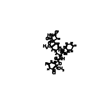 Cc1cc(C[C@H](NS(=O)(=O)c2cc(F)cc(Cl)c2C)c2nc3ccccc3[nH]2)ccc1C1CC(=O)NS1(=O)=O